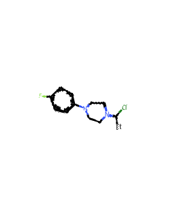 CCC(Cl)N1CCN(c2ccc(F)cc2)CC1